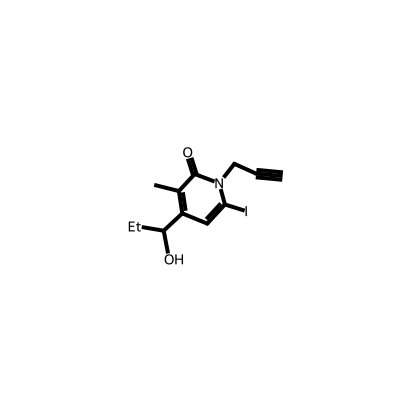 C#CCn1c(I)cc(C(O)CC)c(C)c1=O